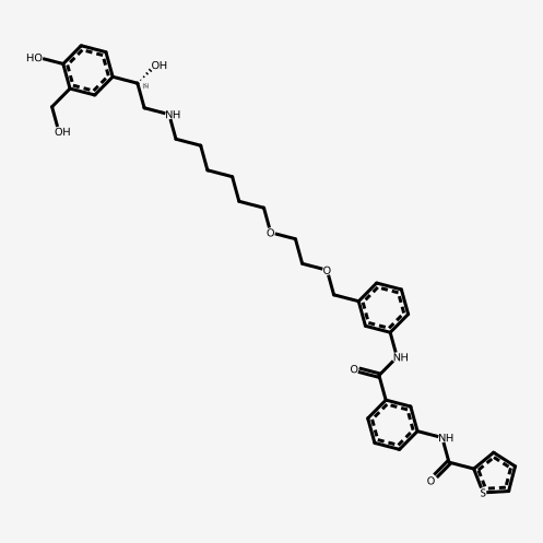 O=C(Nc1cccc(COCCOCCCCCCNC[C@@H](O)c2ccc(O)c(CO)c2)c1)c1cccc(NC(=O)c2cccs2)c1